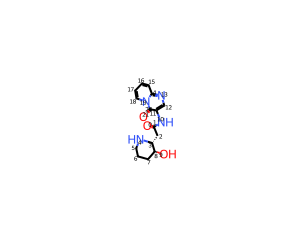 O=C(C[C@H]1NCCC[C@@H]1O)Nc1cnc2ccccn2c1=O